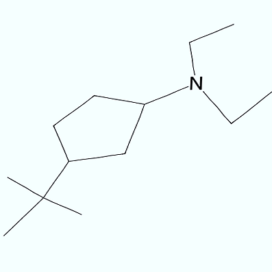 CCN(CC)C1CCC(C(C)(C)C)C1